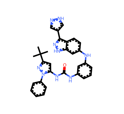 CC(C)(C)c1cc(NC(=O)Nc2cccc(Nc3ccc4c(-c5cn[nH]c5)n[nH]c4c3)c2)n(-c2ccccc2)n1